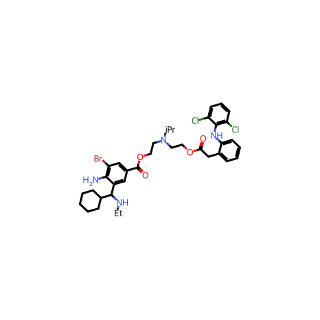 CCNC(c1cc(C(=O)OCCN(CCOC(=O)Cc2ccccc2Nc2c(Cl)cccc2Cl)C(C)C)cc(Br)c1N)C1CCCCC1